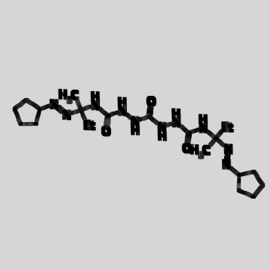 CCC(C)(/N=N/C1CCCC1)NC(=O)NNC(=O)NNC(=O)NC(C)(CC)/N=N/C1CCCC1